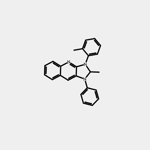 Cc1ccccc1N1c2nc3ccccc3cc2N(c2ccccc2)C1C